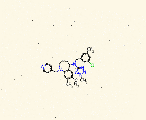 Cc1cc2c(cc1C(F)(F)F)N(Cc1ccncc1)CCCC2N(Cc1cc(Cl)cc(C(F)(F)F)c1)c1nnn(C)n1